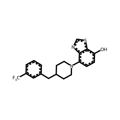 Oc1ccc(N2CCC(Cc3cccc(C(F)(F)F)c3)CC2)c2ncsc12